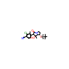 Cc1c(C2C(=O)N3CC[C@H](O[Si](C)(C)C(C)(C)C)C3C2(C)O)ccc(C#N)c1Cl